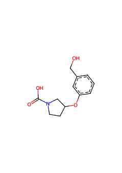 O=C(O)N1CCC(Oc2cccc(CO)c2)C1